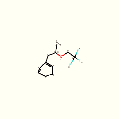 C[C@H](CC1=CCCC=C1)OCC(F)(F)F